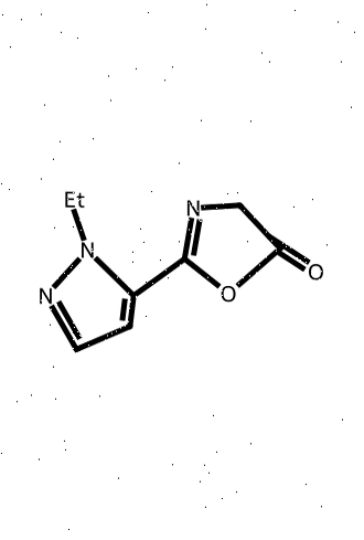 CCn1nccc1C1=NCC(=O)O1